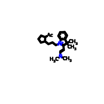 CC(=O)C1CCCC1CCC[N+]1=C(/C=C/N(C)C)C(C)(C)c2ccccc21